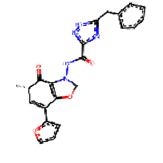 C[C@H]1C=C(c2ccco2)C2=C(C1=O)N(NC(=O)c1n[nH]c(Cc3ccccc3)n1)CO2